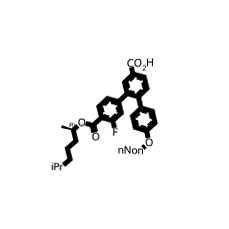 CCCCCCCCCOc1ccc(-c2ccc(C(=O)O)cc2-c2ccc(C(=O)O[C@H](C)CCCC(C)C)c(F)c2)cc1